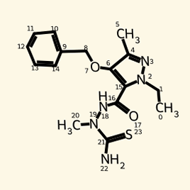 CCn1nc(C)c(OCc2ccccc2)c1C(=O)NN(C)C(N)=S